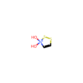 O[N+]1(O)C=CSS1